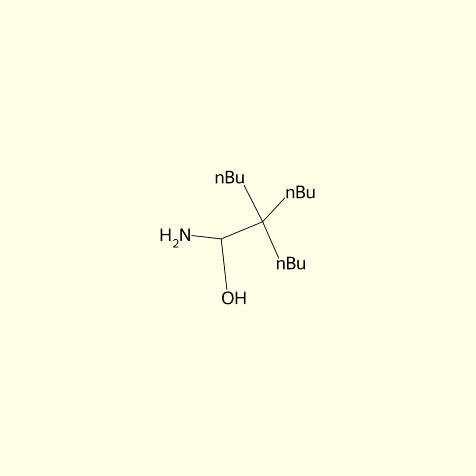 CCCCC(CCCC)(CCCC)C(N)O